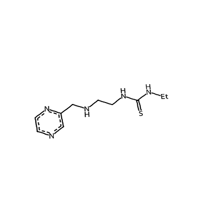 CCNC(=S)NCCNCc1cnccn1